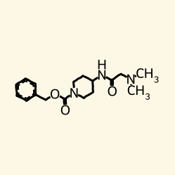 CN(C)CC(=O)NC1CCN(C(=O)OCc2ccccc2)CC1